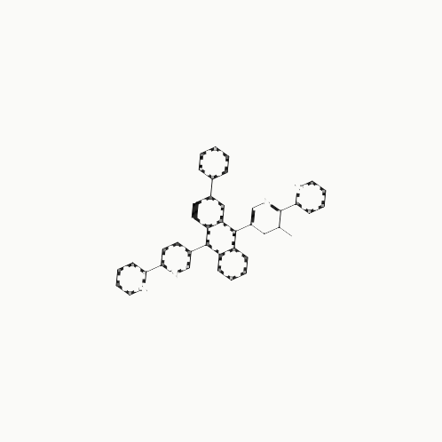 CC1CC(c2c3cc(-c4ccccc4)c#cc3c(-c3ccc(-c4ccccn4)nc3)c3ccccc23)=CN=C1c1ccccn1